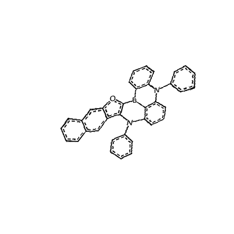 c1ccc(N2c3ccccc3B3c4oc5cc6ccccc6cc5c4N(c4ccccc4)c4cccc2c43)cc1